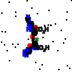 O=C(Nc1cc(OCCc2cc(NC(=O)c3ccc4nnnn4n3)c(C(=O)O)cc2F)ccc1C(=O)O)c1ccc(-n2ccnc2)nn1